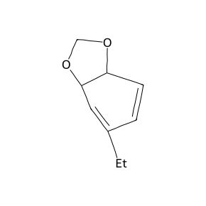 CCC1=CC2OCOC2C=C1